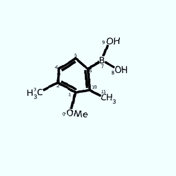 COc1c(C)ccc(B(O)O)c1C